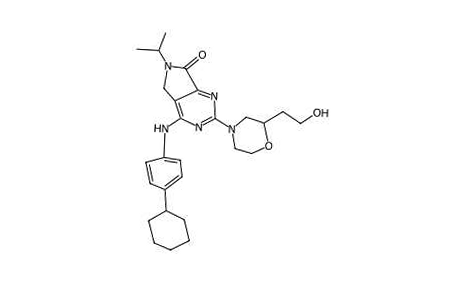 CC(C)N1Cc2c(Nc3ccc(C4CCCCC4)cc3)nc(N3CCOC(CCO)C3)nc2C1=O